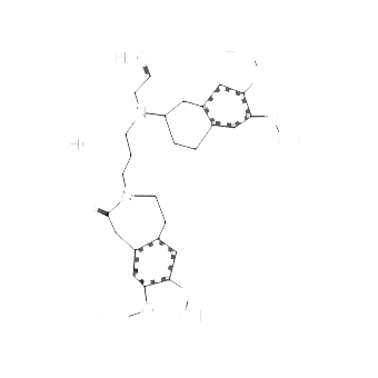 C=CCN(CCCN1CCc2cc(OC)c(OC)cc2CC1=O)C1CCc2cc(OC)c(OC)cc2C1.Cl